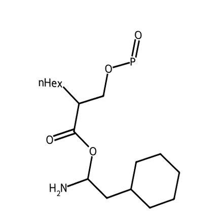 CCCCCCC(COP=O)C(=O)OC(N)CC1CCCCC1